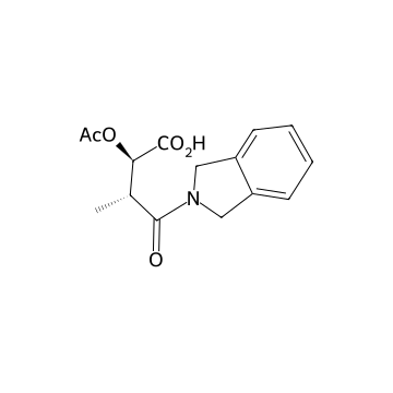 CC(=O)O[C@@H](C(=O)O)[C@@H](C)C(=O)N1Cc2ccccc2C1